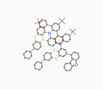 CC(C)(C)c1ccc(N2c3cc4c(cc3B3c5ccc(-c6ccccc6)cc5Sc5cc(-c6cccc7oc8ccccc8c67)cc2c53)B2c3ccc(-c5ccccc5)cc3Sc3cc(C(C)(C)C)cc(c32)N4c2c(-c3ccccc3)cc(C(C)(C)C)cc2-c2ccccc2)cc1